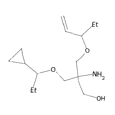 C=CC(CC)OCC(N)(CO)COC(CC)C1CC1